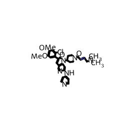 COc1cc(OC)c(Cl)c(-c2cc3cnc(Nc4ccncc4)cc3n(C3CCN(C(=O)/C=C/CN(C)C)CC3)c2=O)c1